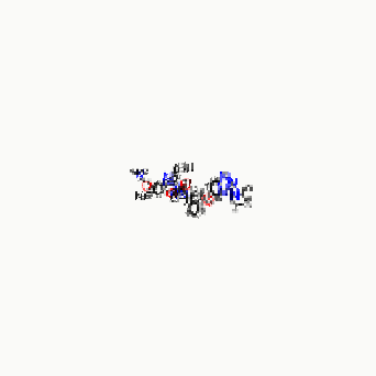 C[C@H]1CCCCN1c1nnc2ccc(O[C@@H]3CC[C@H](NC(=O)N(OC=O)c4cc(C(C)(C)C)nn4-c4ccc(C#N)c(OCCN(C)C)c4)c4ccccc43)cn12